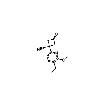 CCc1ccc(C2(C#N)CC(=O)C2)nc1OC